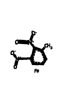 Cc1cccc([N+](=O)[O-])c1[N+](=O)[O-].[Fe]